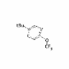 Cc1cc(OC(F)(F)F)ccc1C(C)(C)C